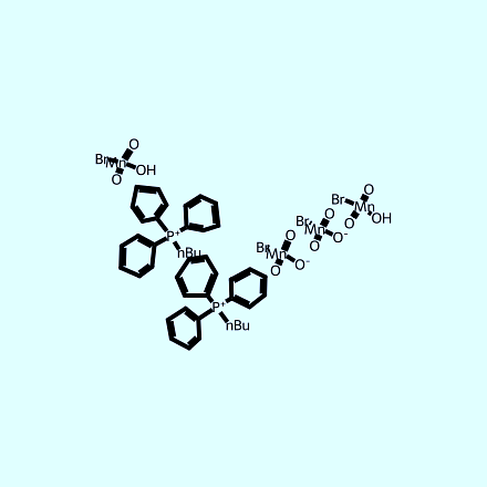 CCCC[P+](c1ccccc1)(c1ccccc1)c1ccccc1.CCCC[P+](c1ccccc1)(c1ccccc1)c1ccccc1.[O]=[Mn](=[O])([O-])[Br].[O]=[Mn](=[O])([O-])[Br].[O]=[Mn](=[O])([OH])[Br].[O]=[Mn](=[O])([OH])[Br]